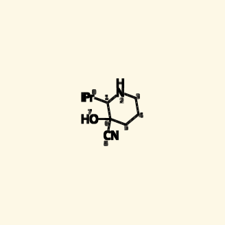 CC(C)C1NCCCC1(O)C#N